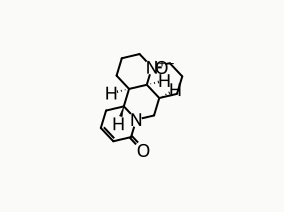 O=C1C=CC[C@@H]2[C@H]3CCC[N+]4([O-])CCC[C@@H](CN12)[C@@H]34